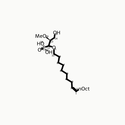 CCCCCCCC/C=C\CCCCCCCCOC([C@H](CO)OC)P(=O)(O)O